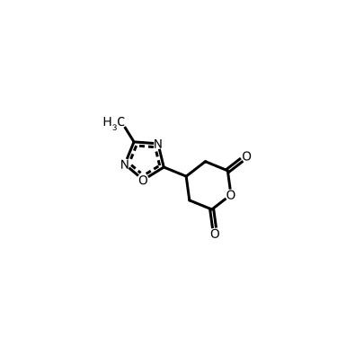 Cc1noc(C2CC(=O)OC(=O)C2)n1